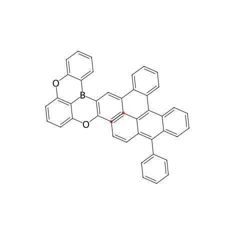 c1ccc(-c2c3ccccc3c(-c3ccccc3-c3ccc4c(c3)B3c5ccccc5Oc5cccc(c53)O4)c3ccccc23)cc1